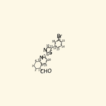 O=CC1CCCc2nc(-c3ncc(-c4cccc(Br)c4)s3)ccc21